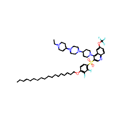 CCCCCCCCCCCCCCCCCCOc1ccc(S(=O)(=O)c2cnc3ccc(OC(F)(F)F)cc3c2N2CCC(N3CCN(C4CCN(CC)CC4)CC3)CC2)c(F)c1F